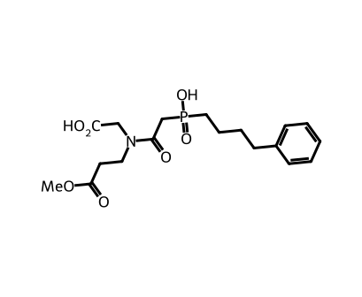 COC(=O)CCN(CC(=O)O)C(=O)CP(=O)(O)CCCCc1ccccc1